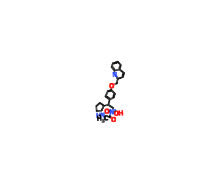 CC(=O)[N+](O)(CC(c1ccc(OCc2ccc3ccccc3n2)cc1)C1CCCC1)O[NH]